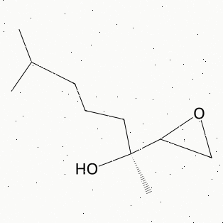 CC(C)CCC[C@](C)(O)C1CO1